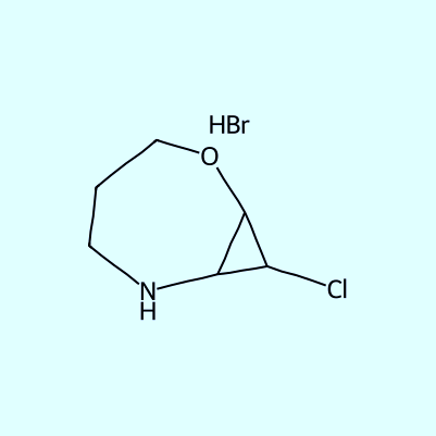 Br.ClC1C2NCCCOC12